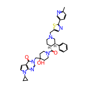 Cc1ccc(-c2ncc(CN3CC[C@@H](C(=O)N4CCC(O)(Cn5cnc6c(ccn6C6CC6)c5=O)CC4)[C@H](c4ccccc4)C3)s2)cn1